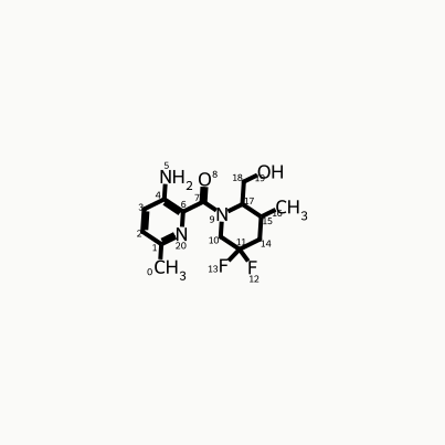 Cc1ccc(N)c(C(=O)N2CC(F)(F)CC(C)C2CO)n1